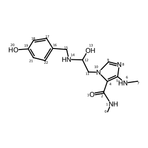 CNC(=O)c1c(NC)ncn1CC(O)NCc1ccc(O)cc1